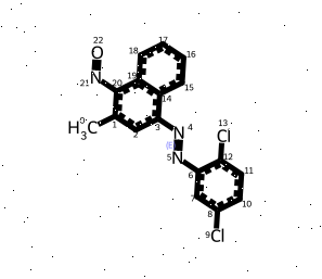 Cc1cc(/N=N/c2cc(Cl)ccc2Cl)c2ccccc2c1N=O